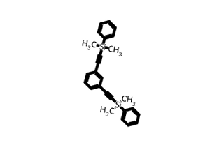 C[Si](C)(C#Cc1cccc(C#C[Si](C)(C)c2ccccc2)c1)c1ccccc1